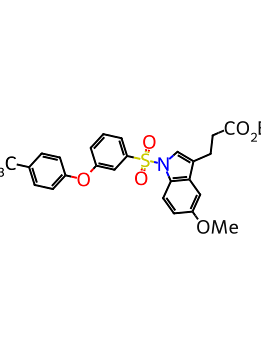 CCOC(=O)CCc1cn(S(=O)(=O)c2cccc(Oc3ccc(C)cc3)c2)c2ccc(OC)cc12